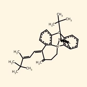 C=C1CC[N+]23c4c(cccc4/C1=C/C=C(\C)C(C)(C)C)Oc1cccc(c12)-c1ccc(C(C)(C)C)c[n+]13